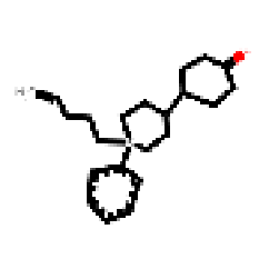 C=CCCC[Si]1(c2ccccc2)CCC(C2CCC(=O)CC2)CC1